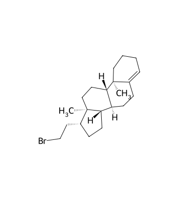 C[C@]12CC[C@H]3[C@@H](CCC4=CCCC[C@@]43C)[C@@H]1CC[C@@H]2CCBr